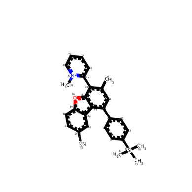 Cc1cc(-c2ccc([Si](C)(C)C)cc2)c2c(oc3ccc(C#N)cc32)c1-c1cccc[n+]1C